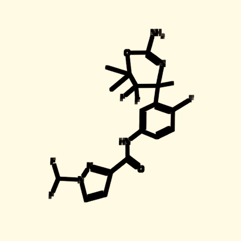 CC1(C)OC(N)=NC(C)(c2cc(NC(=O)c3ccn(C(F)F)n3)ccc2F)C1(F)F